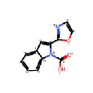 O=C(O)n1c(-c2ncco2)cc2ccccc21